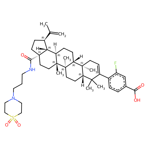 C=C(C)[C@@H]1CC[C@]2(C(=O)NCCCN3CCS(=O)(=O)CC3)CC[C@]3(C)[C@H](CC[C@@H]4[C@@]5(C)CC=C(c6ccc(C(=O)O)cc6F)C(C)(C)[C@@H]5CC[C@]43C)[C@@H]12